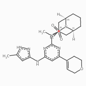 CCS(=O)(=O)N1[C@@H]2CCC[C@H]1C[C@@H](N(C)c1nc(Nc3cc(C)[nH]n3)cc(C3=CCOCC3)n1)C2